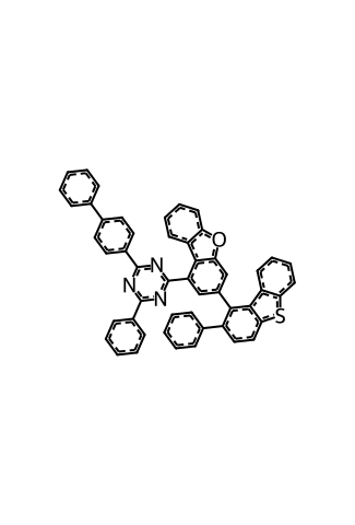 c1ccc(-c2ccc(-c3nc(-c4ccccc4)nc(-c4cc(-c5c(-c6ccccc6)ccc6sc7ccccc7c56)cc5oc6ccccc6c45)n3)cc2)cc1